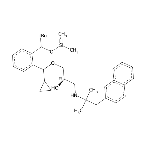 C[SiH](C)OC(c1ccccc1C(OC[C@H](O)CNC(C)(C)Cc1ccc2ccccc2c1)C1CC1)C(C)(C)C